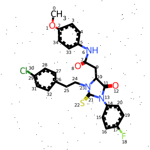 COc1ccc(NC(=O)CC2C(=O)N(c3ccc(F)cc3)C(=S)N2CCc2ccc(Cl)cc2)cc1